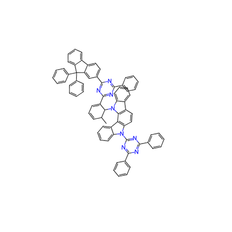 CC1C=CC=C(c2nc(-c3ccccc3)nc(-c3ccc4c(c3)C(c3ccccc3)(c3ccccc3)c3ccccc3-4)n2)C1n1c2ccccc2c2ccc3c(c4ccccc4n3-c3nc(-c4ccccc4)nc(-c4ccccc4)n3)c21